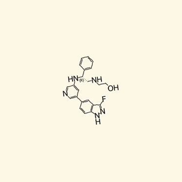 OCCNC[C@H](Nc1cncc(-c2ccc3[nH]nc(F)c3c2)c1)c1ccccc1